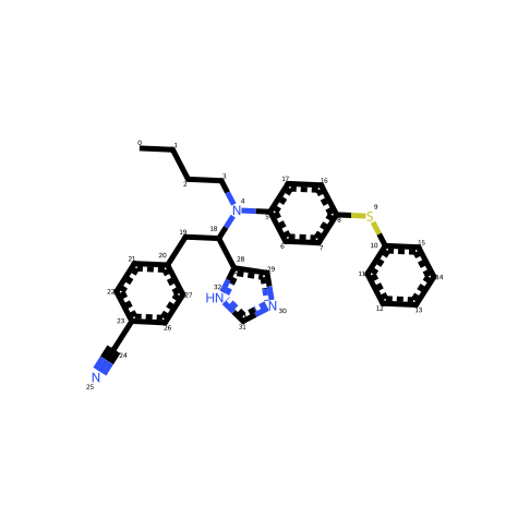 CCCCN(c1ccc(Sc2ccccc2)cc1)C(Cc1ccc(C#N)cc1)c1cnc[nH]1